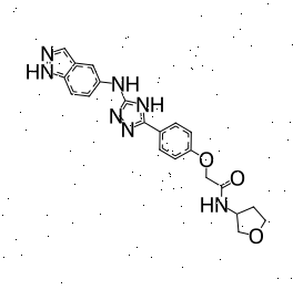 O=C(COc1ccc(-c2nnc(Nc3ccc4[nH]ncc4c3)[nH]2)cc1)NC1CCOC1